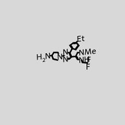 CCc1ccc(-c2nc(N3CCC(N)CC3)ncc2/C(=C/NCC(F)F)CNC)cc1